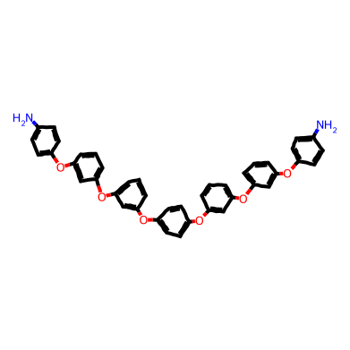 Nc1ccc(Oc2cccc(Oc3cccc(Oc4ccc(Oc5cccc(Oc6cccc(Oc7ccc(N)cc7)c6)c5)cc4)c3)c2)cc1